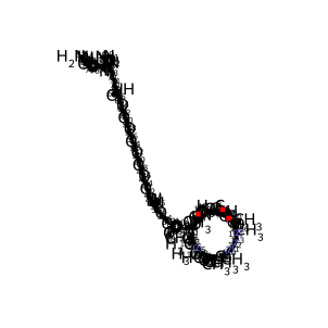 CO[C@@H]1C[C@@H]2CC[C@@H](C)[C@@](O)(O2)C(=O)C(=O)N2CCCC[C@@H]2C(=O)O[C@H]([C@H](C)C[C@H]2CC[C@H](OCCOCc3cn(CCOCCOCCOCCOCCOCCOCCOCCOCCC(=O)NCCCCn4nc(-c5ccc6oc(N)nc6c5)c5c(N)ncnc54)nn3)[C@H](OC)C2)CC(=O)[C@H](C)/C=C(/C)[C@H](O)[C@@H](OC)C(=O)[C@H](C)C[C@H](C)\C=C/C=C\C=C/1C